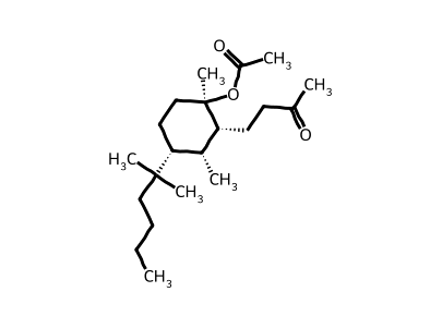 CCCCC(C)(C)[C@@H]1CC[C@@](C)(OC(C)=O)[C@H](CCC(C)=O)[C@@H]1C